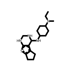 CCN(C)C1CCC(NC2NCNc3sc4c(c32)CCC4)CC1